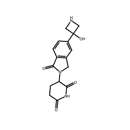 O=C1CCC(N2Cc3cc(C4(O)CNC4)ccc3C2=O)C(=O)N1